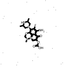 CC1CN(c2c(F)c(N)c3c(=O)c(OC(=O)O)cn4c3c2OCN4C)CC(C)N1